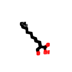 CCCCCC/C=C/C=C(\C=O)C(=O)O